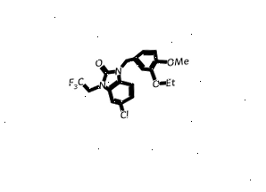 CCOc1cc(Cn2c(=O)n(CC(F)(F)F)c3cc(Cl)ccc32)ccc1OC